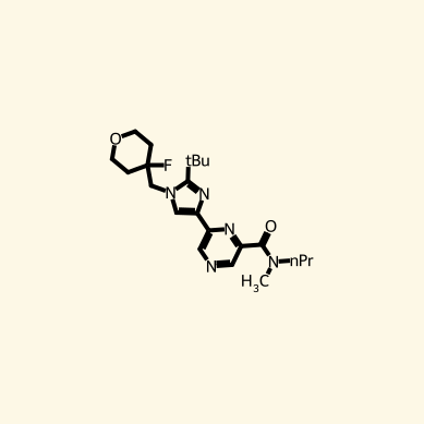 CCCN(C)C(=O)c1cncc(-c2cn(CC3(F)CCOCC3)c(C(C)(C)C)n2)n1